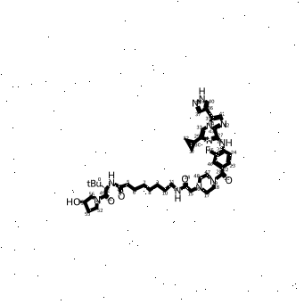 CC(C)(C)[C@H](NC(=O)CCCCCCCNC(=O)CN1CCN(C(=O)c2ccc(Nc3nc(C4CC4)cn4c(-c5cn[nH]c5)cnc34)c(F)c2)CC1)C(=O)N1CC[C@@H](O)C1